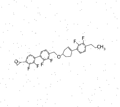 CCCc1ccc(C2=CCC(OCc3ccc(-c4ccc(C5CO5)c(F)c4F)c(F)c3F)CC2)c(F)c1F